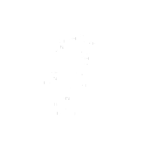 CC(=O)C1=C(O)[C@@H](N(C)C)C2CC3Cc4c(N(C)C)cc(CNCC(C)(C)C)c(O)c4C(=O)C3=C(O)[C@]2(O)C1=O